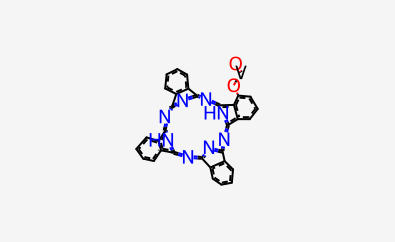 [O]=[V][O]c1cccc2c3nc4nc(nc5[nH]c(nc6nc(nc([nH]3)c12)-c1ccccc1-6)c1ccccc51)-c1ccccc1-4